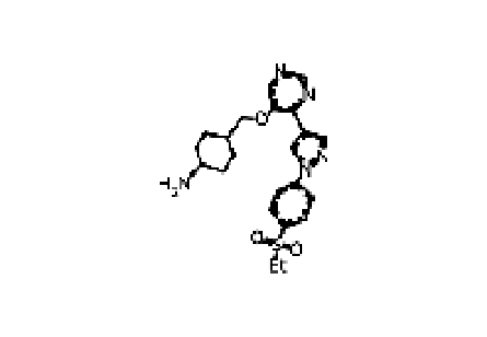 CCS(=O)(=O)c1ccc(-n2cc(-c3ncncc3OCC3CCC(N)CC3)cn2)cc1